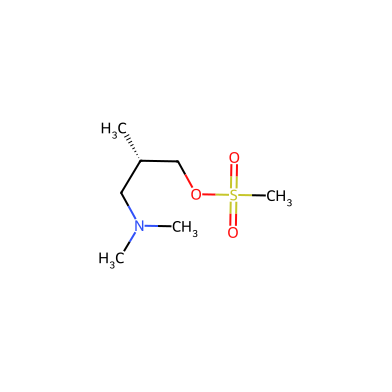 C[C@H](COS(C)(=O)=O)CN(C)C